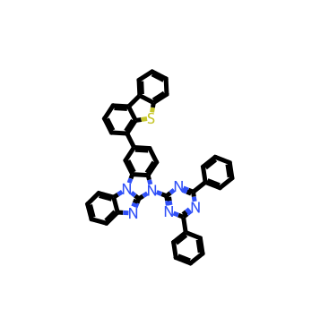 c1ccc(-c2nc(-c3ccccc3)nc(-n3c4ccc(-c5cccc6c5sc5ccccc56)cc4n4c5ccccc5nc34)n2)cc1